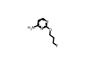 Nc1ccnc(OCCCF)n1